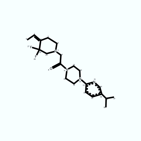 C/C=C1/CCN(CC(=O)N2CCN(c3ccc(C(C)C)cn3)CC2)CC1(F)F